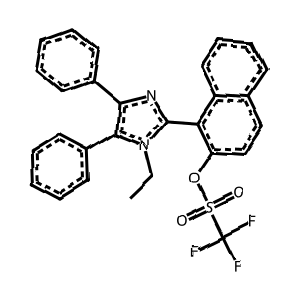 CCn1c(-c2c(OS(=O)(=O)C(F)(F)F)ccc3ccccc23)nc(-c2ccccc2)c1-c1ccccc1